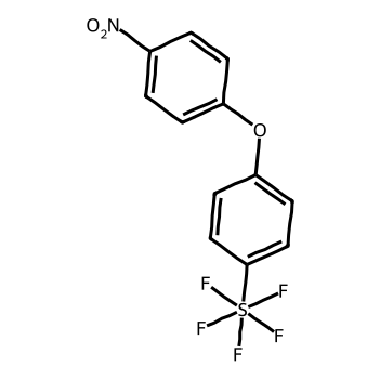 O=[N+]([O-])c1ccc(Oc2ccc(S(F)(F)(F)(F)F)cc2)cc1